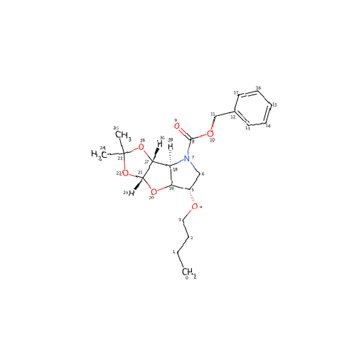 CCCCO[C@H]1CN(C(=O)OCc2ccccc2)[C@H]2C1O[C@@H]1OC(C)(C)O[C@@H]12